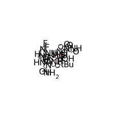 CC(C)(C)c1ccc(CC(NC(=O)C(CCC(N)=O)NC(=O)[C@@H]2CC[C@@H]3CCN(CC(F)F)C[C@H](NC(=O)c4cc5cc(C(F)(F)P(=O)(O)O)ccc5s4)C(=O)N32)C(=O)NCCC2CCN(c3cccc4c3C(=O)N(C3CCC(=O)NC3=O)C4=O)CC2)cc1